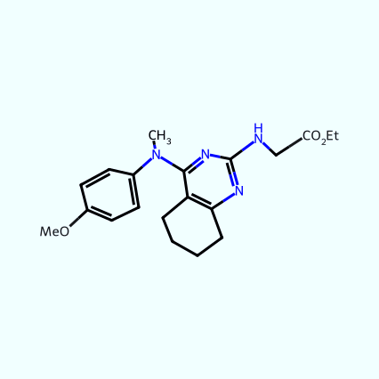 CCOC(=O)CNc1nc2c(c(N(C)c3ccc(OC)cc3)n1)CCCC2